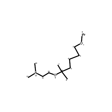 CC(C)OCCCCC(C)(C)OCCN(C)C